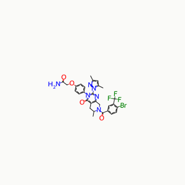 Cc1cc(C)n(-c2nc3c(c(=O)n2-c2ccc(OCC(N)=O)cc2)CC(C)N(C(=O)c2ccc(Br)c(C(F)(F)F)c2)C3)n1